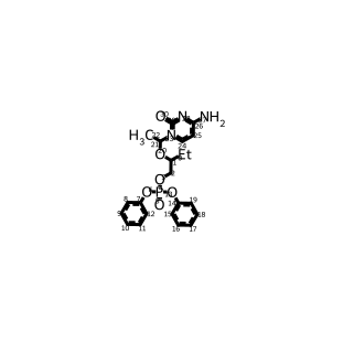 CCC(COP(=O)(Oc1ccccc1)Oc1ccccc1)OC(C)n1ccc(N)nc1=O